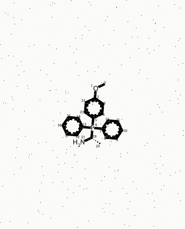 COc1ccc([P](c2ccccc2)(c2ccccc2)[C@H](C)N)cc1